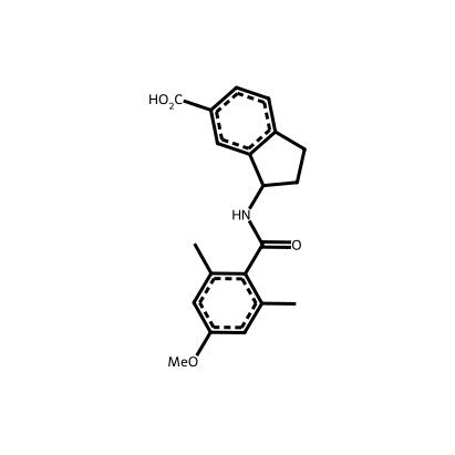 COc1cc(C)c(C(=O)NC2CCc3ccc(C(=O)O)cc32)c(C)c1